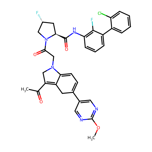 COc1ncc(C2=CC=C3C(=C(C(C)=O)CN3CC(=O)N3C[C@H](F)C[C@H]3C(=O)Nc3cccc(-c4ccccc4Cl)c3F)C2)cn1